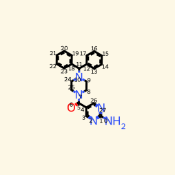 Nc1ncc(C(=O)N2CCN(C(c3ccccc3)c3ccccc3)CC2)cn1